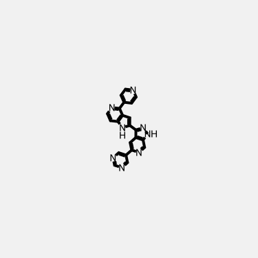 c1cc(-c2nccc3[nH]c(-c4n[nH]c5cnc(-c6cncnc6)cc45)cc23)ccn1